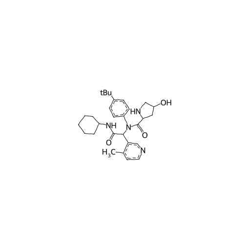 Cc1ccncc1C(C(=O)NC1CCCCC1)N(C(=O)C1CC(O)CN1)c1ccc(C(C)(C)C)cc1